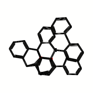 c1ccc(-c2ccc3c(c2)C24c5ccccc5C3c3cccc(c32)N(c2ccccc2-c2ccccc2)c2ccccc24)cc1